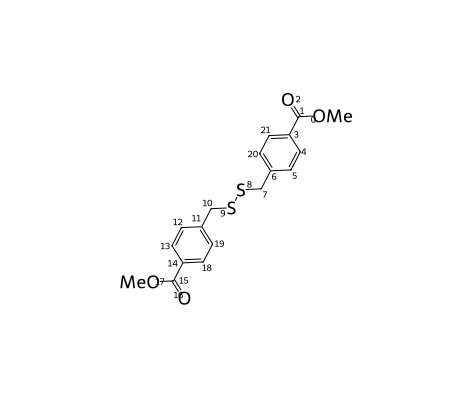 COC(=O)c1ccc(CSSCc2ccc(C(=O)OC)cc2)cc1